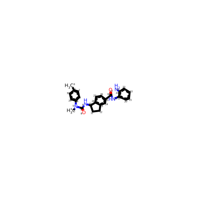 Cc1ccc(N(C)C(=O)NC2CCc3cc(C(=O)Nc4ccccc4N)ccc32)cc1